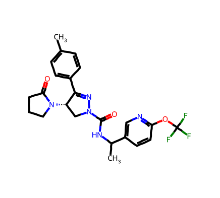 Cc1ccc(C2=NN(C(=O)NC(C)c3ccc(OC(F)(F)F)nc3)C[C@@H]2N2CCCC2=O)cc1